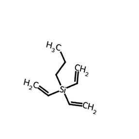 C=C[Si](C=C)(C=C)CCC